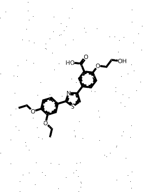 CCOc1ccc(-c2nc(-c3ccc(OCCO)c(C(=O)O)c3)cs2)cc1OCC